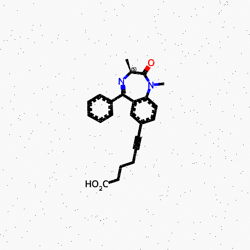 C[C@@H]1N=C(c2ccccc2)c2cc(C#CCCCC(=O)O)ccc2N(C)C1=O